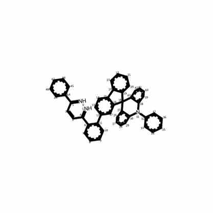 N=C(/C=C\C(=N)c1ccccc1-c1ccc2c(c1)C1(c3ccccc3-2)c2ccccc2N(c2ccccc2)c2ccccc21)c1ccccc1